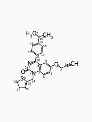 C#CCOc1ccc2c(c1)c(-c1ccc(C(C)C)cc1)nc(=O)n2CC1=CCCS1